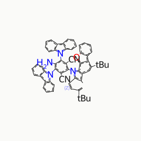 C=C(/C=C\c1c(C)c2cc(C(C)(C)C)c3c4ccccc4oc3c2n1-c1c(C#N)c(-n2c3ccccc3c3ccccc32)c(N)c(-n2c3ccccc3c3ccccc32)c1C#N)C(C)(C)C